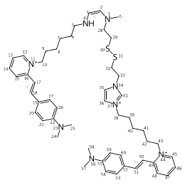 CN(/C=C\NCCCCCC[n+]1ccccc1/C=C/c1ccc(N(C)C)cc1)CCSSCCn1cc[n+](CCCCCC[n+]2ccccc2/C=C/c2ccc(N(C)C)cc2)c1